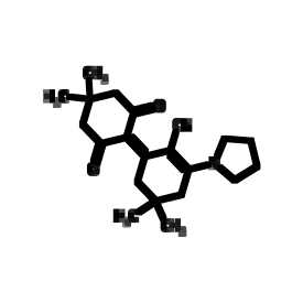 CC1(C)CC(=O)C(=C2CC(C)(C)CC(N3CCCC3)=C2C#N)C(=O)C1